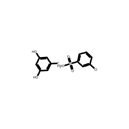 Cc1cc(O)cc(O)c1.O=S(=O)(O)c1cccc(Cl)c1